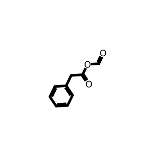 O=COC(=O)Cc1ccccc1